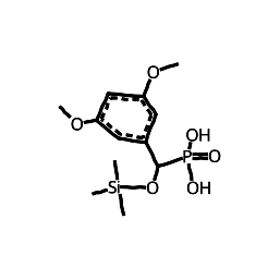 COc1cc(OC)cc(C(O[Si](C)(C)C)P(=O)(O)O)c1